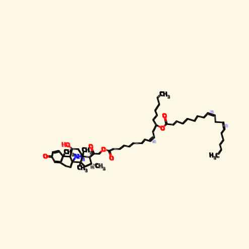 CCCCC/C=C\C/C=C\CCCCCCCC(=O)OC(C/C=C\CCCCCCCC(=O)OCC(=O)C1[C@H](C)CC2(C)C1(C)CC(O)C1C3(C)C=CC(=O)C=C3CCC12N)CCCCCC